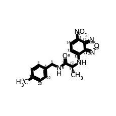 Cc1ccc(CNC(=O)[C@H](C)Nc2ccc([N+](=O)[O-])c3nonc23)cc1